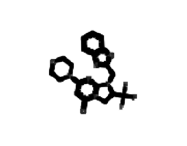 O=c1cc(N2CCOCC2)nc2n1CC(C(F)(F)F)N2Cc1nc2ccccc2o1